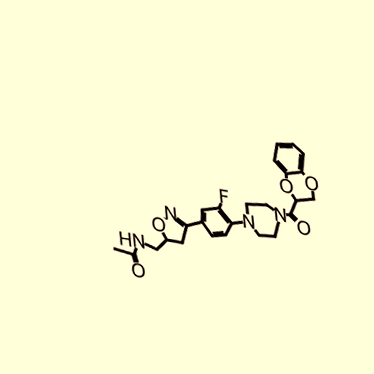 CC(=O)NCC1CC(c2ccc(N3CCN(C(=O)C4COc5ccccc5O4)CC3)c(F)c2)=NO1